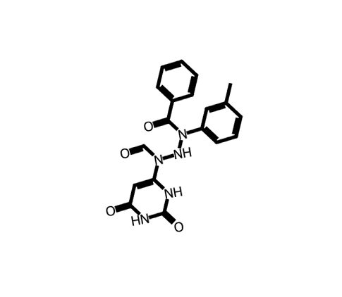 Cc1cccc(N(NN(C=O)c2cc(=O)[nH]c(=O)[nH]2)C(=O)c2ccccc2)c1